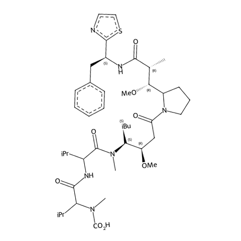 CC[C@H](C)[C@@H]([C@@H](CC(=O)N1CCCC1[C@H](OC)[C@@H](C)C(=O)N[C@@H](Cc1ccccc1)c1nccs1)OC)N(C)C(=O)C(NC(=O)C(C(C)C)N(C)C(=O)O)C(C)C